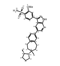 COc1cc(-c2n[nH]c3ncc(-c4ccc5c(c4)CCC(C)(N4CCC[C@H]4C)CC5)cc23)ccc1S(N)(=O)=O